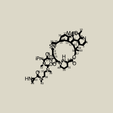 CCn1c(-c2cccnc2[C@H](C)OC)c2c3cc(ccc31)-c1csc(n1)C[C@H](NC(=O)[C@H](C(C)C)N(C)C(=O)N(C)CCN(C)C(=O)[C@H]1CN1)C(=O)N1CCC[C@H](N1)C(=O)OCC(C)(C)C2